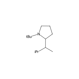 CC(C)C(C)C1CCCN1C(C)(C)C